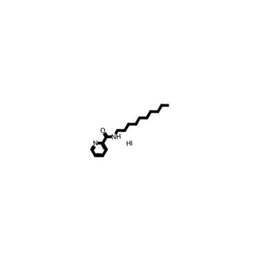 CCCCCCCCCCNC(=O)c1ccccn1.I